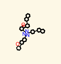 C1=CCC2Oc3cc4cc(-c5nc(-c6ccc(-c7ccc8ccccc8c7)cc6)nc(-c6cccc7oc8c(-c9ccc%10ccccc%10c9)cccc8c67)n5)ccc4cc3C2=C1